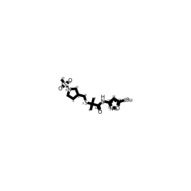 CC(C)(SCC1CCN(S(C)(=O)=O)C1)C(=O)Nc1cc(C(C)(C)C)on1